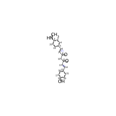 CNc1ccc(/C=C/C(=O)CC(=O)/C=C/c2ccc(O)cc2)cc1